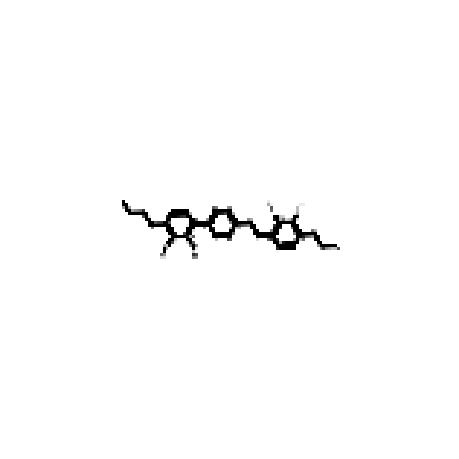 CCCCc1ccc(-c2ccc(CCc3ccc(CCC)c(F)c3F)cc2)c(F)c1F